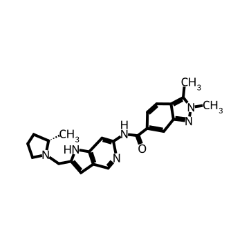 Cc1c2ccc(C(=O)Nc3cc4[nH]c(CN5CCC[C@@H]5C)cc4cn3)cc2nn1C